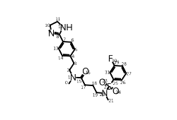 CN(CCc1ccc(C2=NCCN2)cc1)C(=O)CCCN(C)S(=O)(=O)c1cccc(F)c1